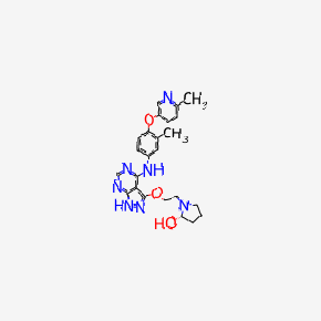 Cc1ccc(Oc2ccc(Nc3ncnc4[nH]nc(OCCN5CCC[C@@H]5O)c34)cc2C)cn1